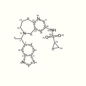 CC(c1ccc2scnc2c1)N1CCCc2ncc(NS(=O)(=O)C3CC3)cc2C1